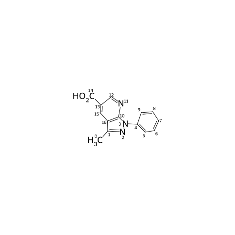 Cc1nn(-c2ccccc2)c2ncc(C(=O)O)cc12